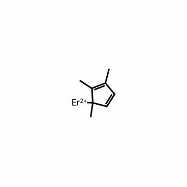 CC1=C(C)[C](C)([Er+2])C=C1